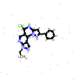 CCn1ncc2c1ncc1c(Cl)nc3cc(-c4ccccc4)nn3c12